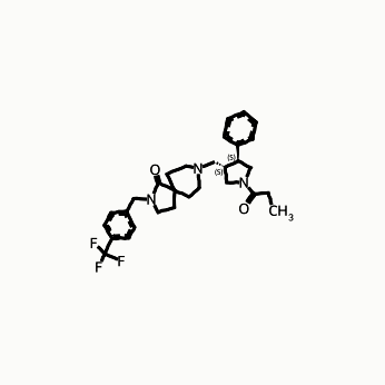 CCC(=O)N1C[C@H](CN2CCC3(CC2)CCN(Cc2ccc(C(F)(F)F)cc2)C3=O)[C@@H](c2ccccc2)C1